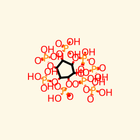 O=P(O)(O)OC1C(OP(=O)(O)O)C(OP(=O)(O)O)C(OP(=O)(O)OP(=O)(O)O)C(OP(=O)(O)OP(=O)(O)O)C1OP(=O)(O)O